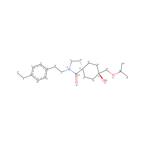 CCc1ccc(CCN2CC[C@]3(CC[C@@](O)(COC(C)C)CC3)C2=O)cc1